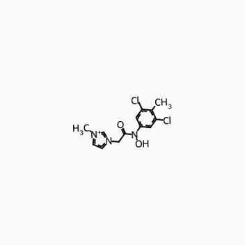 Cc1c(Cl)cc(N(O)C(=O)Cn2cc[n+](C)c2)cc1Cl